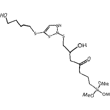 CO[Si](CCCC(=O)CC(O)CSN1NC=C(SCCCCO)S1)(OC)OC